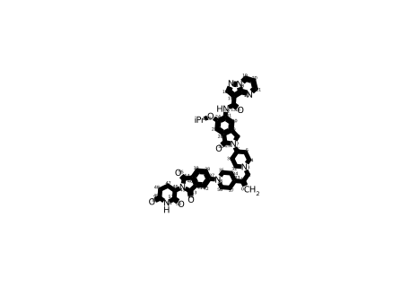 C=C(CN1CCC(N2Cc3cc(NC(=O)c4cnn5cccnc45)c(OC(C)C)cc3C2=O)CC1)C1CCN(c2ccc3c(c2)C(=O)N(C2CCC(=O)NC2=O)C3=O)CC1